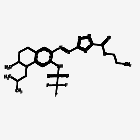 CCCOC(=O)c1nnc(N=Nc2cc3c(cc2NS(=O)(=O)C(F)(F)F)N(CC(C)C)C(C)CC3)s1